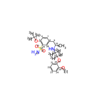 [2H]C([2H])([2H])Oc1ccc(C[C@@H](C)NC([2H])([2H])C([2H])([2H])Oc2ccccc2OCC)cc1S(N)(=O)=O